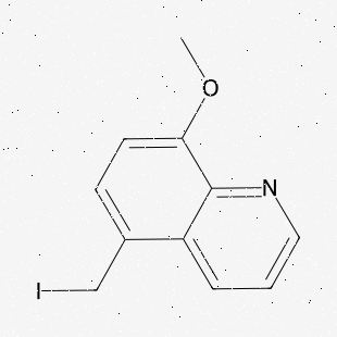 COc1ccc(CI)c2cccnc12